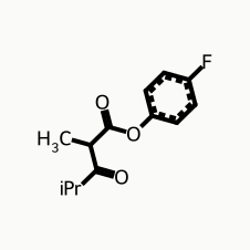 CC(C)C(=O)C(C)C(=O)Oc1ccc(F)cc1